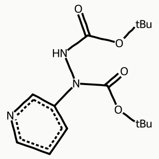 CC(C)(C)OC(=O)NN(C(=O)OC(C)(C)C)c1cccnc1